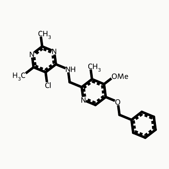 COc1c(OCc2ccccc2)cnc(CNc2nc(C)nc(C)c2Cl)c1C